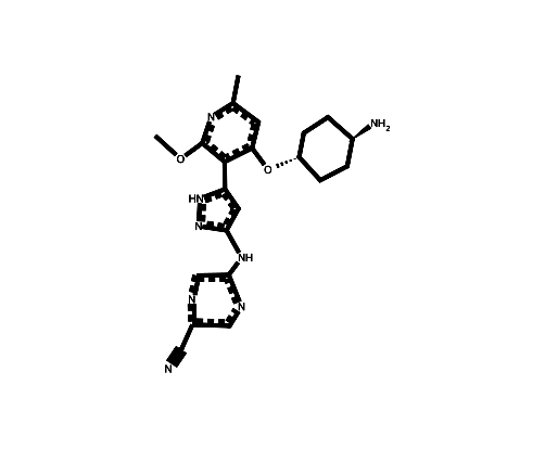 COc1nc(C)cc(O[C@H]2CC[C@H](N)CC2)c1-c1cc(Nc2cnc(C#N)cn2)n[nH]1